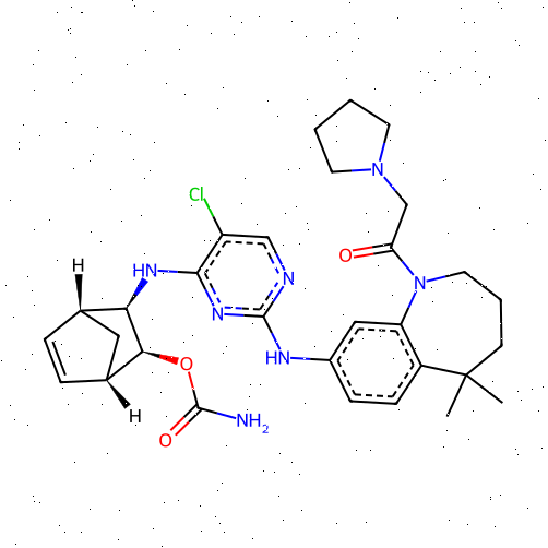 CC1(C)CCCN(C(=O)CN2CCCC2)c2cc(Nc3ncc(Cl)c(N[C@H]4[C@@H](OC(N)=O)[C@@H]5C=C[C@H]4C5)n3)ccc21